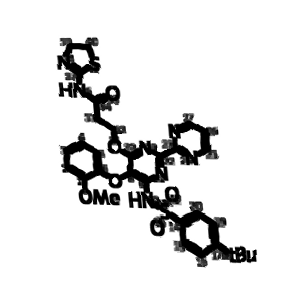 COc1ccccc1Oc1c(NS(=O)(=O)c2ccc(C(C)(C)C)cc2)nc(-c2ncccn2)nc1OCCC(=O)NC1=NCCS1